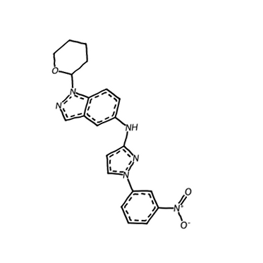 O=[N+]([O-])c1cccc(-n2ccc(Nc3ccc4c(cnn4C4CCCCO4)c3)n2)c1